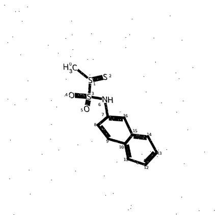 CS(=S)S(=O)(=O)Nc1ccc2ccccc2c1